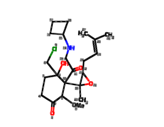 COC1C(=O)CCC(O)(CCl)C1(C(=O)CNC1CCC1)C1(C)OC1CC=C(C)C